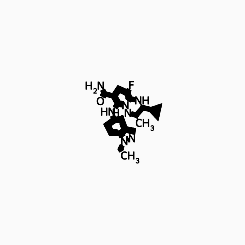 CCn1ncc2cc(Nc3nc(N[C@H](C4CC4)[C@H](C)N)c(F)cc3C(N)=O)ccc21